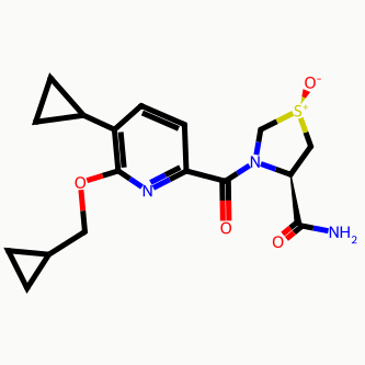 NC(=O)[C@@H]1C[S@+]([O-])CN1C(=O)c1ccc(C2CC2)c(OCC2CC2)n1